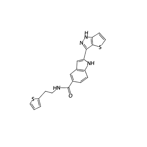 O=C(NCCc1cccs1)c1ccc2[nH]c(-c3n[nH]c4ccsc34)cc2c1